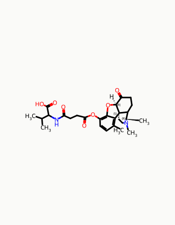 Cc1ccc(OC(=O)CCC(=O)NC(C(=O)O)C(C)C)c2c1[C@]13CCN(C)[C@H](C)C1CCC(=O)[C@@H]3O2